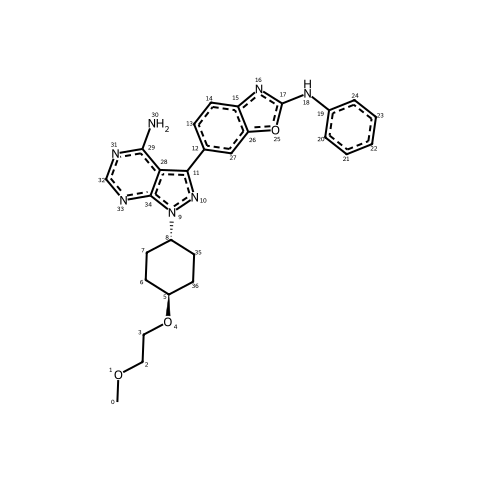 COCCO[C@H]1CC[C@H](n2nc(-c3ccc4nc(Nc5ccccc5)oc4c3)c3c(N)ncnc32)CC1